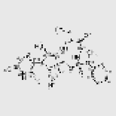 CCOC(=O)[C@H](C)NP(=O)(OC[C@@]1(N=[N+]=[N-])O[C@@H](n2ccc(=O)[nH]c2=O)[C@@H](C)[C@@H]1O)Oc1ccccc1